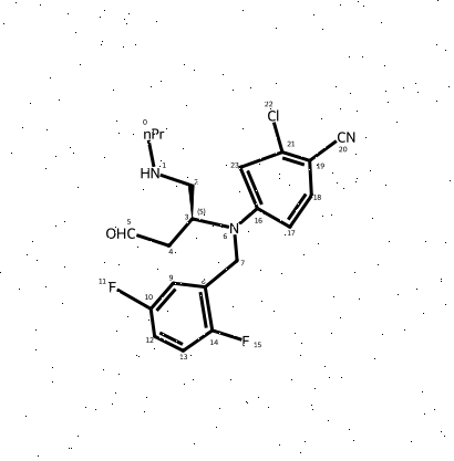 CCCNC[C@H](CC=O)N(Cc1cc(F)ccc1F)c1ccc(C#N)c(Cl)c1